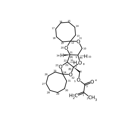 C=C(C)C(=O)OC[C@]12O[C@@H]3COC4(CCCCCCC4)O[C@H]3[C@@H]1OC1(CCCCCCC1)O2